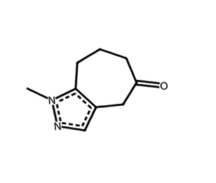 Cn1ncc2c1CCCC(=O)C2